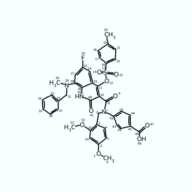 COc1ccc(CN(C(=O)c2c(OS(=O)(=O)c3ccc(C)cc3)c3cc(F)cc(N(C)Cc4ccccc4)c3[nH]c2=O)c2ccc(C(=O)O)cc2)c(OC)c1